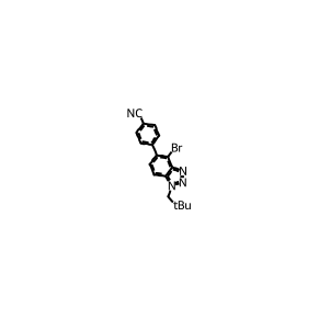 CC(C)(C)Cn1nnc2c(Br)c(-c3ccc(C#N)cc3)ccc21